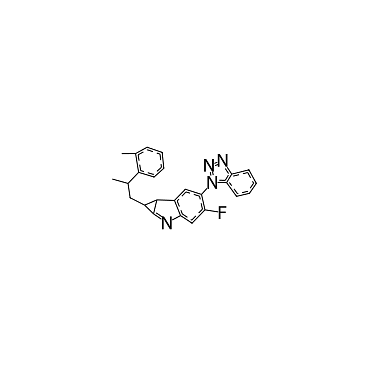 Cc1ccccc1C(C)CC1C2=Nc3cc(F)c(-n4nnc5ccccc54)cc3C21